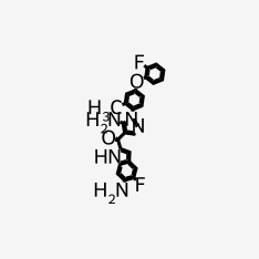 Cc1cc(Oc2ccccc2F)ccc1-n1ncc(C(=O)c2cc3cc(F)c(N)cc3[nH]2)c1N